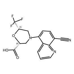 N#Cc1ccc(N2C[C@@H](C(F)(F)F)O[C@@H](C(=O)O)C2)c2cccnc12